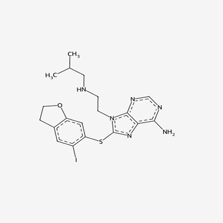 CC(C)CNCCn1c(Sc2cc3c(cc2I)CCO3)nc2c(N)ncnc21